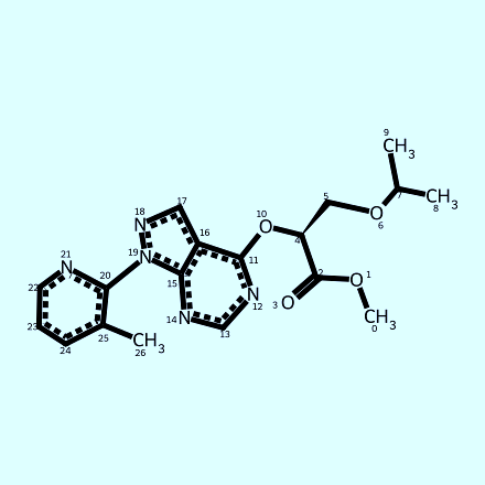 COC(=O)[C@H](COC(C)C)Oc1ncnc2c1cnn2-c1ncccc1C